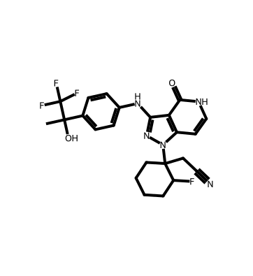 CC(O)(c1ccc(Nc2nn(C3(CC#N)CCCCC3F)c3cc[nH]c(=O)c23)cc1)C(F)(F)F